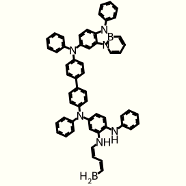 B/C=C\C=C/Nc1cc(N(c2ccccc2)c2ccc(-c3ccc(N(c4ccccc4)c4ccc5c(c4)N4C=CC=CB4N5c4ccccc4)cc3)cc2)ccc1Nc1ccccc1